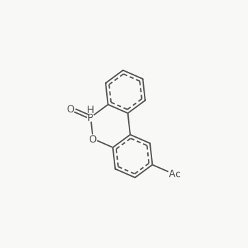 CC(=O)c1ccc2c(c1)-c1ccccc1[PH](=O)O2